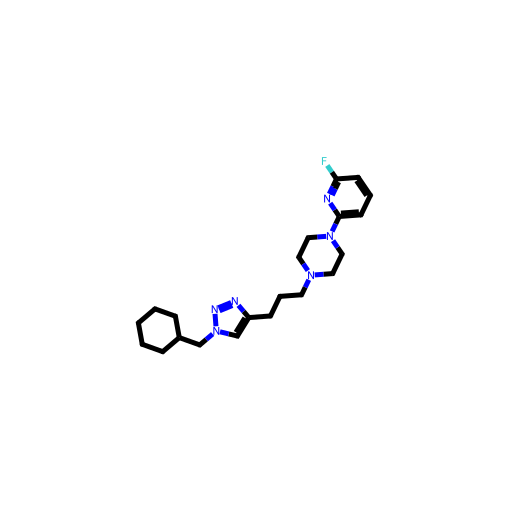 Fc1cccc(N2CCN(CCCc3cn(CC4CCCCC4)nn3)CC2)n1